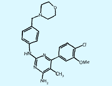 COc1cc(-c2nc(Nc3ccc(CN4CCOCC4)cc3)nc(N)c2C)ccc1Cl